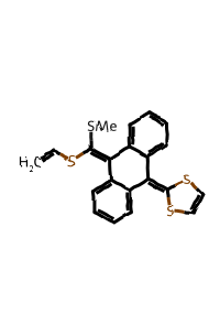 C=CSC(SC)=c1c2ccccc2c(=C2SC=CS2)c2ccccc12